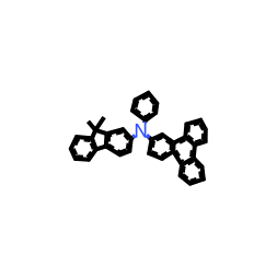 CC1(C)c2ccccc2-c2ccc(N(c3ccccc3)c3ccc4c5ccccc5c5ccccc5c4c3)cc21